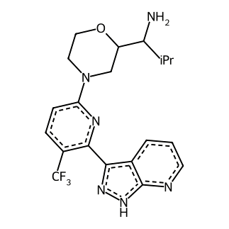 CC(C)C(N)C1CN(c2ccc(C(F)(F)F)c(-c3n[nH]c4ncccc34)n2)CCO1